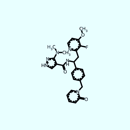 COc1ccnc(CC(NC(=O)c2c[nH]nc2N(C)C)c2ccc(Cn3ccccc3=O)cc2)c1F